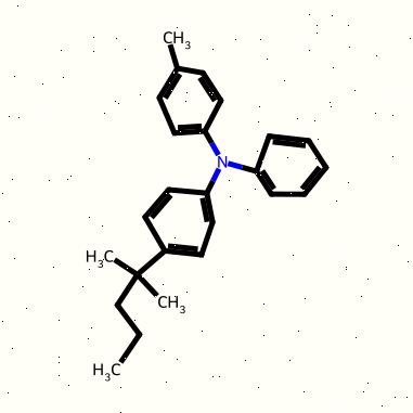 CCCC(C)(C)c1ccc(N(c2ccccc2)c2ccc(C)cc2)cc1